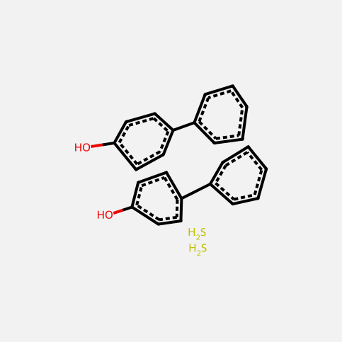 Oc1ccc(-c2ccccc2)cc1.Oc1ccc(-c2ccccc2)cc1.S.S